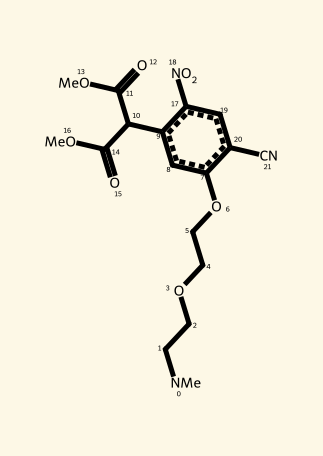 CNCCOCCOc1cc(C(C(=O)OC)C(=O)OC)c([N+](=O)[O-])cc1C#N